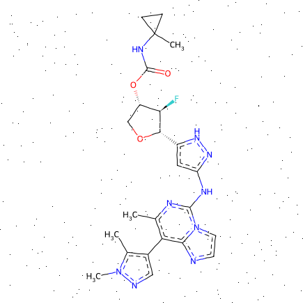 Cc1nc(Nc2cc([C@@H]3OC[C@H](OC(=O)NC4(C)CC4)[C@H]3F)[nH]n2)n2ccnc2c1-c1cnn(C)c1C